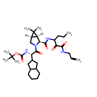 C=CCNC(=O)C(=O)C(CCC)NC(=O)[C@@H]1[C@H]2[C@@H](CN1C(=O)[C@@H](NC(=O)OC(C)(C)C)C1CC3CCCCC3C1)C2(C)C